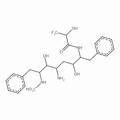 NC(CC(O)C(Cc1ccccc1)NC(=O)C(O)C(F)(F)F)C(O)C(Cc1ccccc1)NC(=O)O